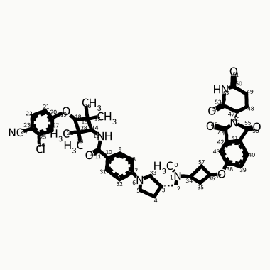 CN(C[C@@H]1CCN(c2ccc(C(=O)NC3C(C)(C)C(Oc4ccc(C#N)c(Cl)c4)C3(C)C)cc2)C1)C1CC(Oc2ccc3c(c2)C(=O)N([C@H]2CCC(=O)NC2=O)C3=O)C1